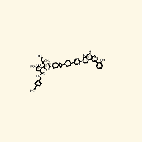 C#Cc1ccc(CNC(=O)C2C[C@@H](O)CN2C(=O)[C@@H](NC(=O)[C@H]2CCC3(CC2)C[C@H](N2CCC(c4cnc(N5CCN6c7cc(-c8ccccc8O)nnc7NC[C@H]6C5)nc4)CC2)C3)C(C)(C)CCO)cc1